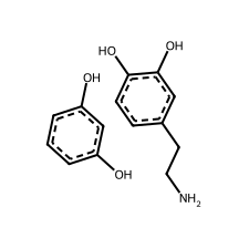 NCCc1ccc(O)c(O)c1.Oc1cccc(O)c1